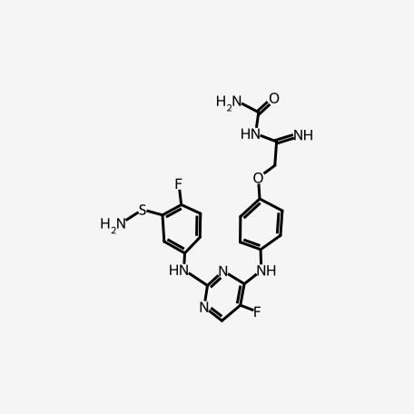 N=C(COc1ccc(Nc2nc(Nc3ccc(F)c(SN)c3)ncc2F)cc1)NC(N)=O